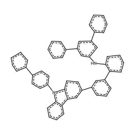 c1ccc(-c2ccc(-n3c4ccccc4c4cc(-c5cccc(-c6ccccc6Nc6cc(-c7ccccc7)cc(-c7ccccc7)c6)c5)ccc43)cc2)cc1